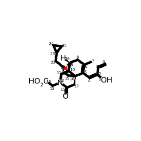 C=C/C(O)=C\C1=C(C)C[C@@H]2[C@@H]3CN(CC(=O)O)C(=O)C[C@]13CCN2CC1CC1